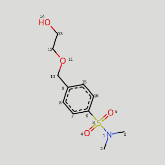 CN(C)S(=O)(=O)c1ccc(COCCO)cc1